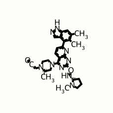 Cc1cc2[nH]ncc2c(-c2ccc3c(N4CCN(C=C=O)[C@@H](C)C4)nc(ON[C@@H]4CCCN4C)nc3n2)c1C